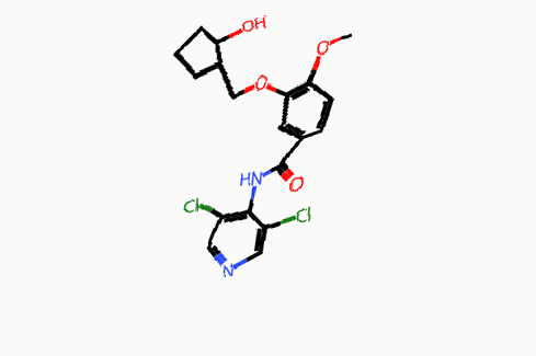 COc1ccc(C(=O)Nc2c(Cl)cncc2Cl)cc1OCC1CCCC1O